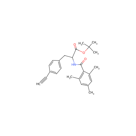 C#Cc1ccc(CC(NC(=O)c2c(C)cc(C)cc2C)C(=O)OC(C)(C)C)cc1